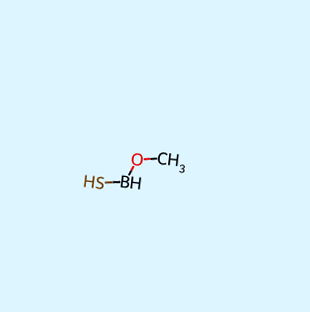 COBS